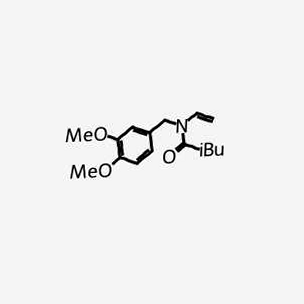 C=CN(Cc1ccc(OC)c(OC)c1)C(=O)C(C)CC